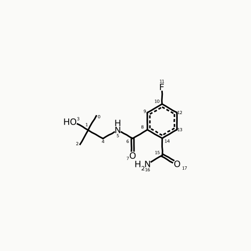 CC(C)(O)CNC(=O)c1cc(F)ccc1C(N)=O